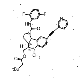 CN1c2ccc(C#Cc3cccnc3)cc2C2[C@H](CCN2C(=O)Nc2cc(F)ccc2F)[C@@H]1COC(=O)CC(C)(C)C